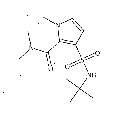 CN(C)C(=O)c1c(S(=O)(=O)NC(C)(C)C)ccn1C